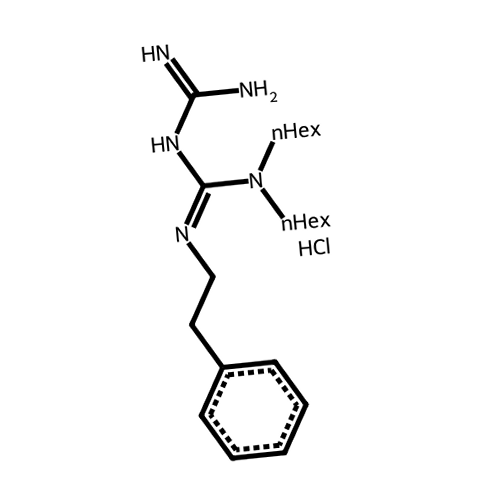 CCCCCCN(CCCCCC)C(=NCCc1ccccc1)NC(=N)N.Cl